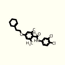 Cc1cc(OCCC2=CCCCC2)cc(C)c1C(=O)Nc1ccc(Cl)c(Cl)c1